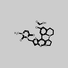 Cn1ccc(=O)n(Cc2cc3nccc(-c4cc(Cl)cc5c4N([C@H]4CCNC4)CCC5)c3s2)c1=O.O=CO